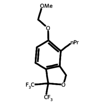 CCCc1c(OCOC)ccc2c1COC2(C(F)(F)F)C(F)(F)F